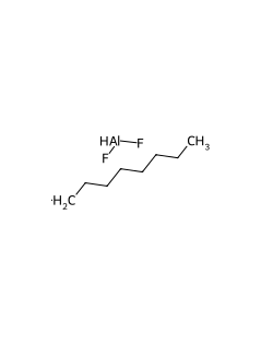 [CH2]CCCCCCC.[F][AlH][F]